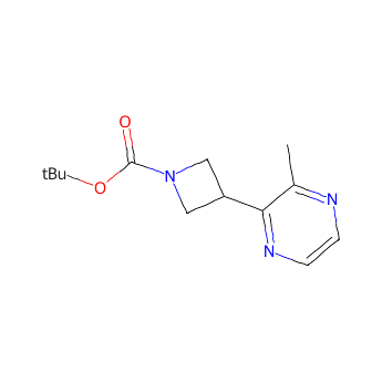 Cc1nccnc1C1CN(C(=O)OC(C)(C)C)C1